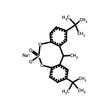 CC1c2cc(C(C)(C)C)ccc2OP(=O)([O-])Oc2ccc(C(C)(C)C)cc21.[Na+]